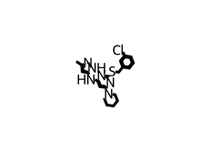 Cc1cc(Nc2cc(N3CCCCC3)nc(SCc3cccc(Cl)c3)n2)[nH]n1